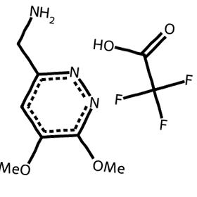 COc1cc(CN)nnc1OC.O=C(O)C(F)(F)F